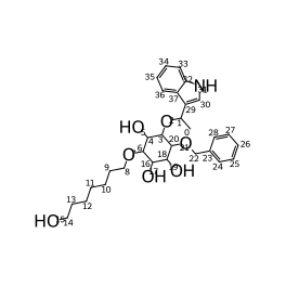 CC(OC1C(O)C(OCCCCCCCO)C(O)C(O)C1OCc1ccccc1)c1c[nH]c2ccccc12